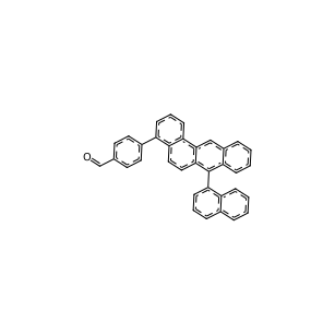 O=Cc1ccc(-c2cccc3c2ccc2c(-c4cccc5ccccc45)c4ccccc4cc23)cc1